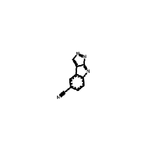 N#Cc1ccc2c(c1)C1=CN=NC1=N2